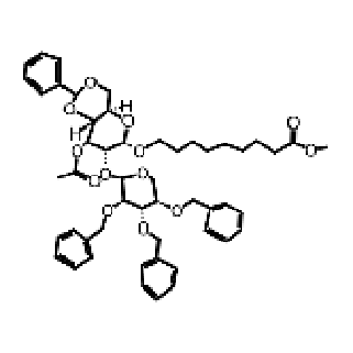 COC(=O)CCCCCCCCO[C@H]1O[C@@H]2COC(c3ccccc3)O[C@H]2[C@H](OC(C)=O)[C@H]1O[C@H]1OC[C@@H](OCc2ccccc2)[C@H](OCc2ccccc2)[C@H]1OCc1ccccc1